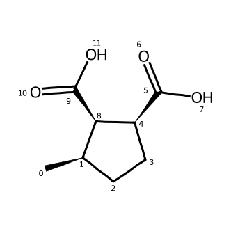 C[C@@H]1CC[C@H](C(=O)O)[C@@H]1C(=O)O